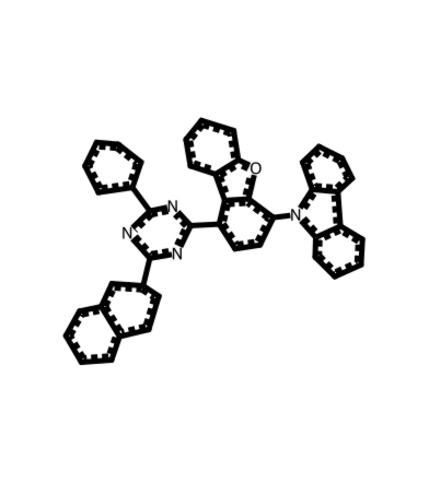 c1ccc(-c2nc(-c3ccc4ccccc4c3)nc(-c3ccc(-n4c5ccccc5c5ccccc54)c4oc5ccccc5c34)n2)cc1